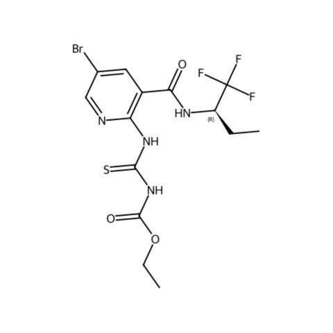 CCOC(=O)NC(=S)Nc1ncc(Br)cc1C(=O)N[C@H](CC)C(F)(F)F